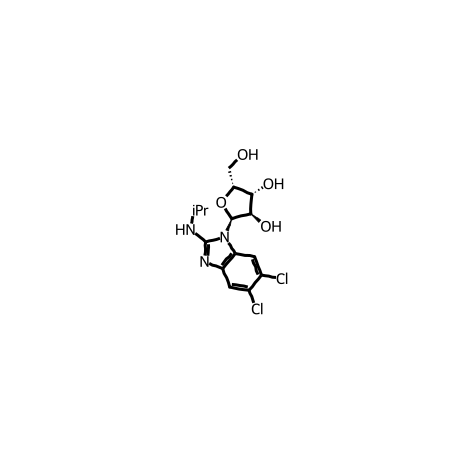 CC(C)Nc1nc2cc(Cl)c(Cl)cc2n1[C@H]1O[C@H](CO)[C@H](O)[C@H]1O